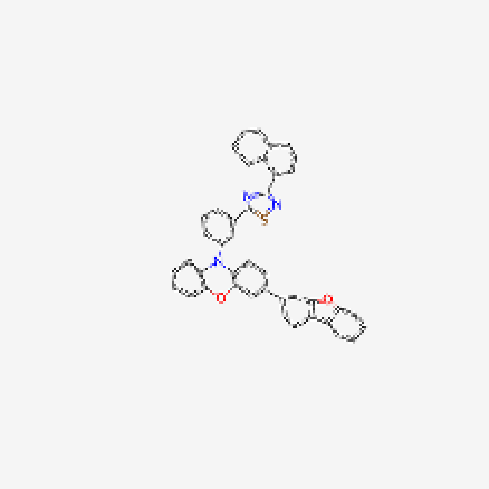 c1cc(-c2nc(-c3cccc4ccccc34)ns2)cc(N2c3ccccc3Oc3cc(-c4ccc5c(c4)oc4ccccc45)ccc32)c1